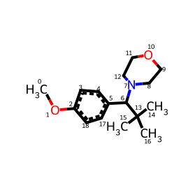 COc1ccc(C(N2CCOCC2)C(C)(C)C)cc1